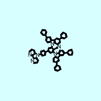 N#Cc1c(-n2c3ccc(-c4ccccc4)cc3c3cc(-c4ccccc4)ccc32)cc(-c2ccc(-n3c4cccnc4c4ncccc43)cc2)cc1-n1c2ccc(-c3ccccc3)cc2c2cc(-c3ccccc3)ccc21